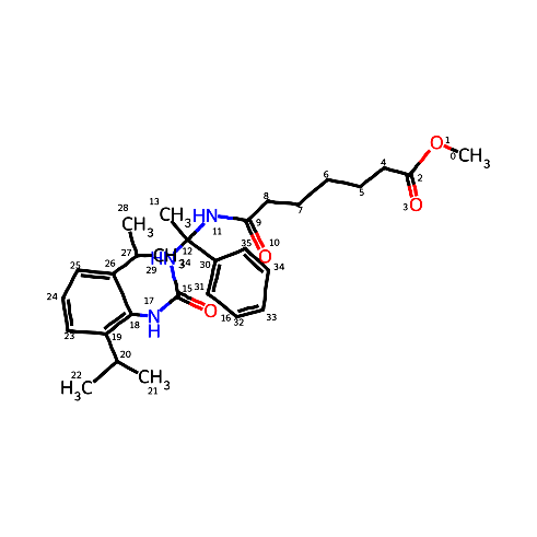 COC(=O)CCCCCC(=O)NC(C)(NC(=O)Nc1c(C(C)C)cccc1C(C)C)c1ccccc1